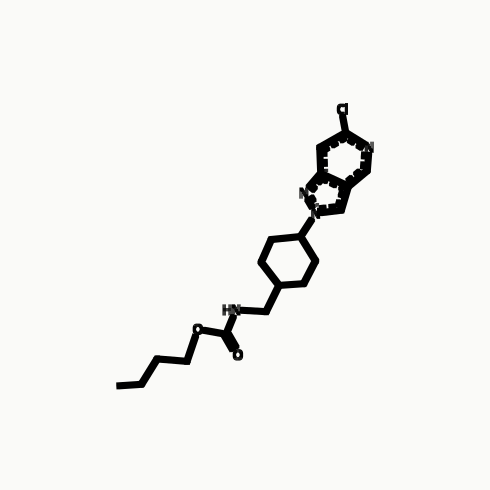 CCCCOC(=O)NCC1CCC(n2cc3cnc(Cl)cc3n2)CC1